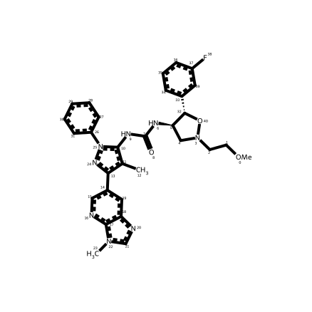 COCCN1C[C@@H](NC(=O)Nc2c(C)c(-c3cnc4c(c3)ncn4C)nn2-c2ccccc2)[C@H](c2cccc(F)c2)O1